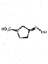 O=C(O)N1CCC(=NO)C1